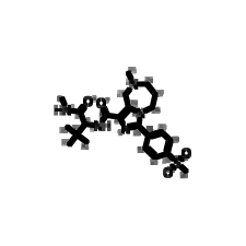 CNC(=O)C(NC(=O)c1nc(-c2ccc(S(C)(=O)=O)cc2)n2c1CN(C)CCC2)C(C)(C)C